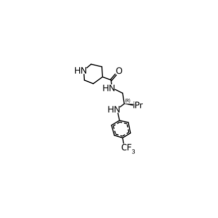 CC(C)[C@H](CNC(=O)C1CCNCC1)Nc1ccc(C(F)(F)F)cc1